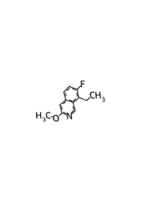 CCc1c(F)ccc2cc(OC)ncc12